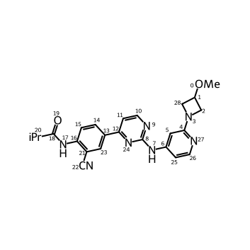 COC1CN(c2cc(Nc3nccc(-c4ccc(NC(=O)C(C)C)c(C#N)c4)n3)ccn2)C1